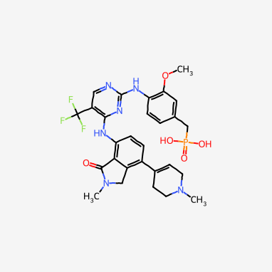 COc1cc(CP(=O)(O)O)ccc1Nc1ncc(C(F)(F)F)c(Nc2ccc(C3=CCN(C)CC3)c3c2C(=O)N(C)C3)n1